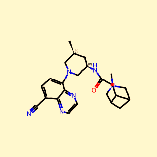 C[C@H]1C[C@@H](NC(=O)CC2C3CC2CN(C)C3)CN(c2ccc(C#N)c3nccnc23)C1